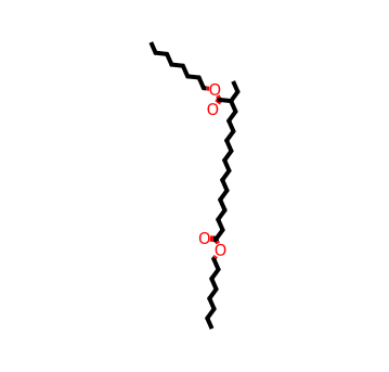 CCCCCCCCOC(=O)CCCCCCCCCCCCCC(CC)C(=O)OCCCCCCCC